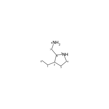 CCC1CCNC1CN